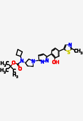 Cc1ncc(-c2ccc(-c3ccc(N4CC[C@H](N(C(=O)OC(C)(C)C)C5CCC5)C4)nn3)c(O)c2)s1